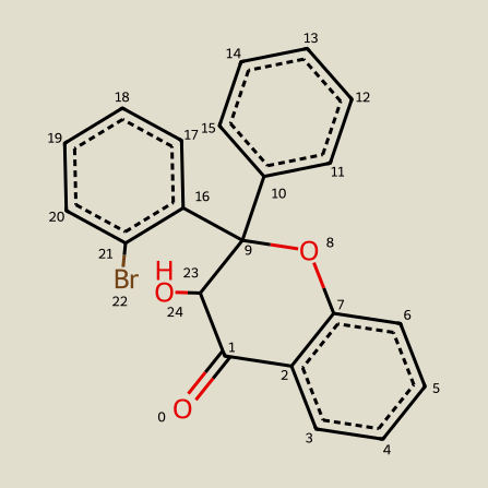 O=C1c2ccccc2OC(c2ccccc2)(c2ccccc2Br)C1O